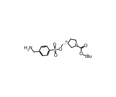 CC(C)(C)OC(=O)N1CC[C@@H](COS(=O)(=O)c2ccc(CN)cc2)C1